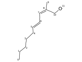 CCCCCC=CC=C(C)C[O]